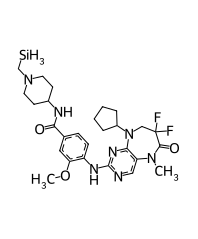 COc1cc(C(=O)NC2CCN(C[SiH3])CC2)ccc1Nc1ncc2c(n1)N(C1CCCC1)CC(F)(F)C(=O)N2C